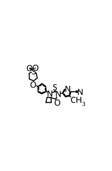 Cc1cc(N2C(=O)C3(CCC3)N(c3ccc(OC4CCS(=O)(=O)CC4)cc3)C2=S)cnc1C#N